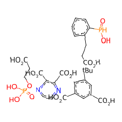 CC(C)(C)c1cc(C(=O)O)cc(C(=O)O)c1.O=C(O)CCOP(=O)(O)O.O=C(O)CCc1ccccc1[PH](=O)O.O=C(O)c1nccnc1C(=O)O